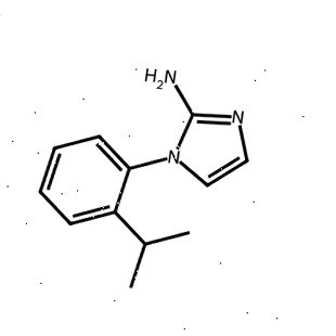 CC(C)c1ccccc1-n1ccnc1N